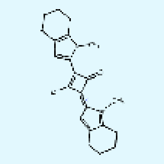 Cn1c(C2=C([O-])/C(=C3\C=C4CCCCC4=[N+]3C)C2=O)cc2c1CCCC2